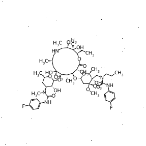 CCCN(C[C@]1(O)[C@H](C)O[C@@H](O[C@H]2[C@H](C)[C@@H](O[C@@H]3O[C@H](C)C[C@H](N(C)C(=O)Nc4ccc(F)cc4)[C@H]3O)[C@](C)(O)C[C@@H](C)CN[C@H](C)[C@@H](O)[C@](C)(O)[C@@H](CC)OC(=O)[C@@H]2C)C[C@@]1(C)OC)C(=O)Nc1ccc(F)cc1